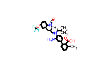 Cc1cccc(-c2ccc(N(CC(C)C)CC(C)Cc3cc(OC(F)(F)F)ccc3N=C=O)c(N)c2)c1C(=O)O